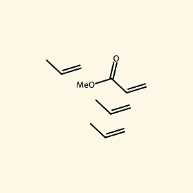 C=CC.C=CC.C=CC.C=CC(=O)OC